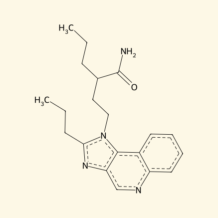 CCCc1nc2cnc3ccccc3c2n1CCC(CCC)C(N)=O